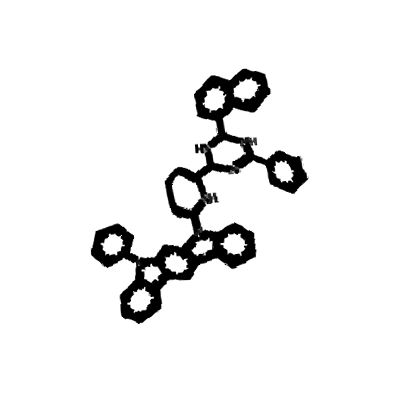 C1=C(C2N=C(c3ccccc3)NC(c3cccc4ccccc34)N2)NC(n2c3ccccc3c3cc4c5ccccc5n(-c5ccccc5)c4cc32)CC1